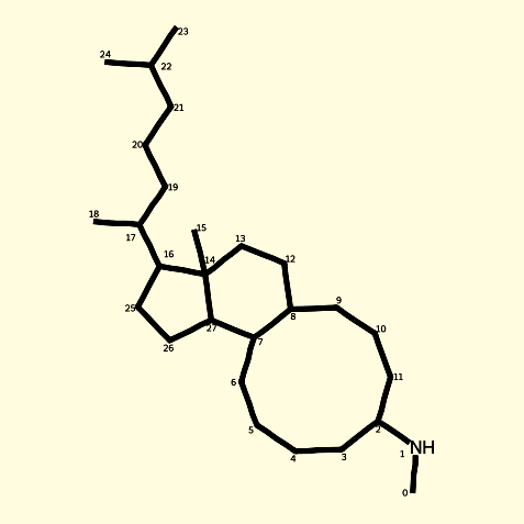 CNC1CCCCC2C(CCC1)CCC1(C)C(C(C)CCCC(C)C)CCC21